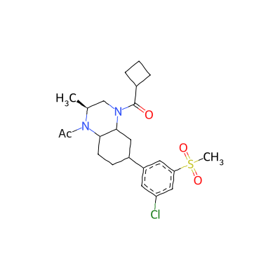 CC(=O)N1C2CCC(c3cc(Cl)cc(S(C)(=O)=O)c3)CC2N(C(=O)C2CCC2)C[C@@H]1C